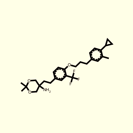 Cc1cc(CCCOc2ccc(CCC3(N)COC(C)(C)OC3)cc2C(F)(F)F)ccc1C1CC1